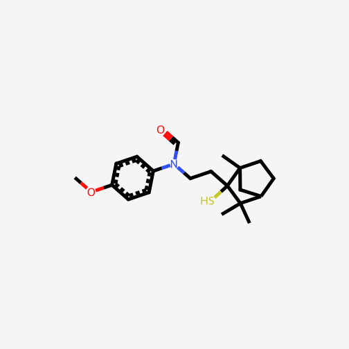 COc1ccc(N(C=O)CCC2(S)C3(C)CCC(C3)C2(C)C)cc1